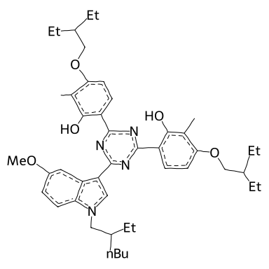 CCCCC(CC)Cn1cc(-c2nc(-c3ccc(OCC(CC)CC)c(C)c3O)nc(-c3ccc(OCC(CC)CC)c(C)c3O)n2)c2cc(OC)ccc21